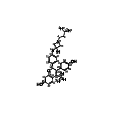 [2H]C([2H])CCN1CC([2H])(Sc2ccc(C3Oc4cc(O)ccc4C(C([2H])([2H])[2H])=C3c3ccc(O)cc3)cc2)C1